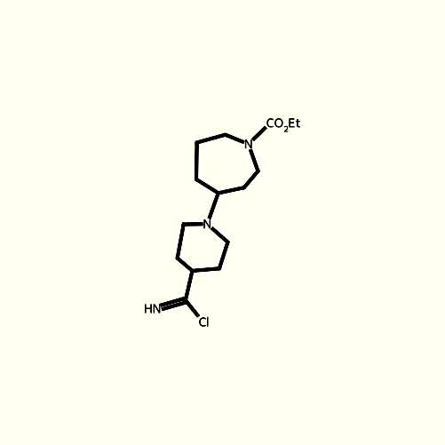 CCOC(=O)N1CCCC(N2CCC(C(=N)Cl)CC2)CC1